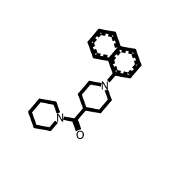 O=C(C1CCN(c2cccc3ccccc23)CC1)N1CCCCC1